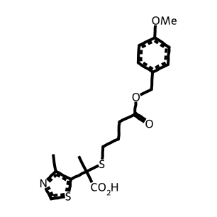 COc1ccc(COC(=O)CCCSC(C)(C(=O)O)c2scnc2C)cc1